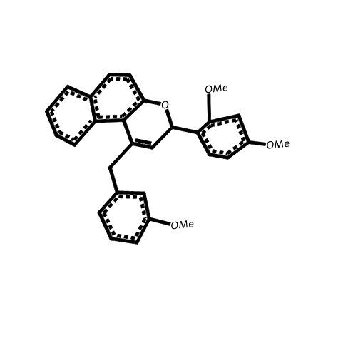 COc1cccc(CC2=CC(c3ccc(OC)cc3OC)Oc3ccc4ccccc4c32)c1